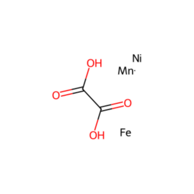 O=C(O)C(=O)O.[Fe].[Mn].[Ni]